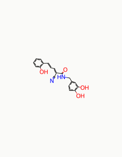 N#C/C(=C\C=C\c1ccccc1O)C(=O)NCc1ccc(O)c(O)c1